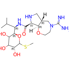 CSC1O[C@H]([C@H](NC(=O)[C@H]2NC[C@@H]3CN(C(=N)N)CCO[C@H]32)C(C)C)C(O)C(O)[C@H]1O